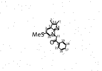 CSc1cc2c(C)c(C)nc-2n(CC(=O)c2ccccc2)c1